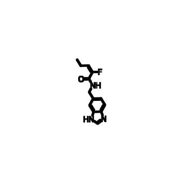 CC/C=C(/F)C(=O)NCc1ccc2nc[nH]c2c1